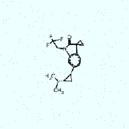 CC(C)[C@H]1C[C@@H]1c1ccc2c(c1)N(CC(F)(F)F)C(=O)C21CC1